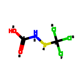 O=C(O)NSC(Cl)(Cl)Cl